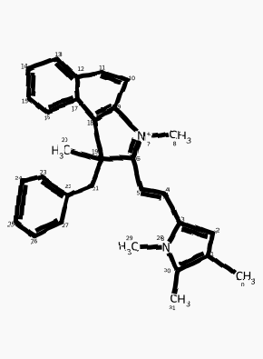 Cc1cc(/C=C/C2=[N+](C)c3ccc4ccccc4c3C2(C)Cc2ccccc2)n(C)c1C